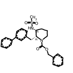 CS(=O)(=O)N[C@@H]1CCCN(C(=O)OCc2ccccc2)[C@@H]1Cc1cccc(-c2ccccc2)c1